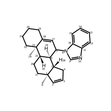 C[C@@]12C=CC[C@H]1[C@@H]1C(n3cnc4ccccc43)C=C3CCCC[C@]3(C)[C@H]1CC2